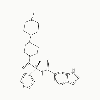 CN1CCC(C2CCN(C(=O)[C@](C)(NC(=O)c3ccc4cc[nH]c4c3)c3ccncc3)CC2)CC1